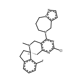 CN1Cc2c(nc(Cl)nc2N2CCCn3nccc3C2)C[C@]12CCc1cccc(F)c12